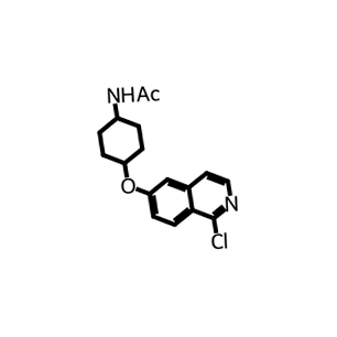 CC(=O)NC1CCC(Oc2ccc3c(Cl)nccc3c2)CC1